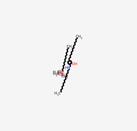 CCCCCCCCCCCCCCCCNCc1ccc(CCCCCCCCCCCCCCC)cc1O.CCCCCCCCCCCCCCCC[Si](OC)(OC)OC